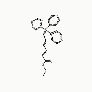 CCOC(=O)C=CC=CC=P(c1ccccc1)(c1ccccc1)c1ccccc1